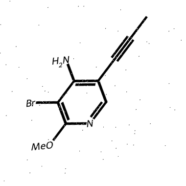 CC#Cc1cnc(OC)c(Br)c1N